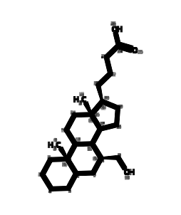 C[C@]12CCCCC1C[C@H](CO)C1C2CC[C@@]2(C)C1CC[C@@H]2CCCC(=O)O